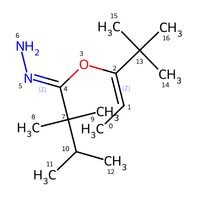 C/C=C(\O/C(=N\N)C(C)(C)C(C)C)C(C)(C)C